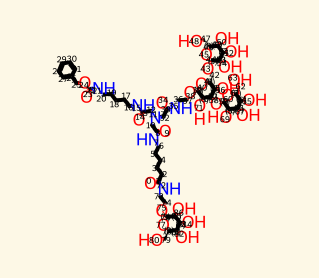 O=C(CCCCCNC(=O)CN(CC(=O)NCCCCCNC(=O)OCc1ccccc1)CC(=O)NCCO[C@H]1O[C@H](CO[C@H]2O[C@H](CO)[C@@H](O)[C@H](O)[C@@H]2O)[C@@H](O)[C@H](O[C@H]2O[C@H](CO)[C@@H](O)[C@H](O)[C@@H]2O)[C@@H]1O)NCCO[C@H]1O[C@H](CO)[C@@H](O)[C@H](O)[C@@H]1O